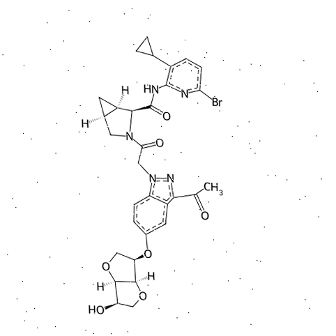 CC(=O)c1nn(CC(=O)N2C[C@H]3C[C@H]3[C@H]2C(=O)Nc2nc(Br)ccc2C2CC2)c2ccc(O[C@@H]3CO[C@H]4[C@@H]3OC[C@H]4O)cc12